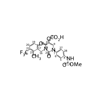 COC(=O)Nc1ccc(-n2cc(OC(=O)O)c(=O)n(Cc3cccc(C(F)(F)F)c3C)c2=O)cc1